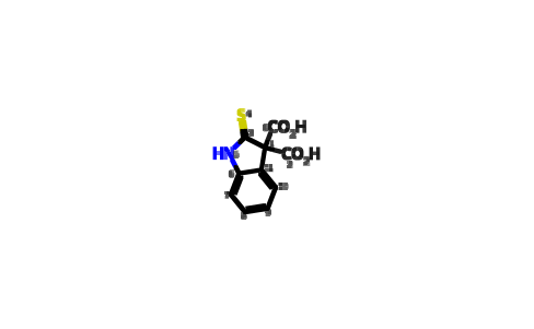 O=C(O)C1(C(=O)O)C(=S)Nc2ccccc21